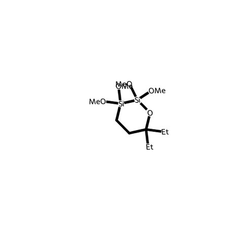 CCC1(CC)CC[Si](OC)(OC)[Si](OC)(OC)O1